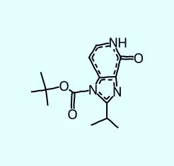 CC(C)c1nc2c(=O)[nH]ccc2n1C(=O)OC(C)(C)C